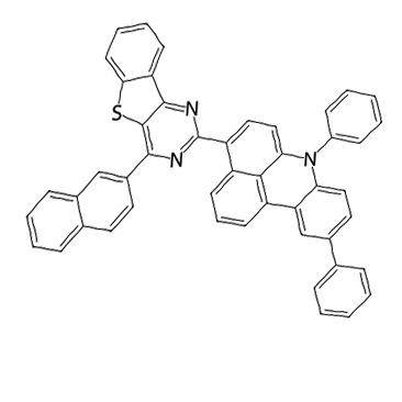 c1ccc(-c2ccc3c(c2)-c2cccc4c(-c5nc(-c6ccc7ccccc7c6)c6sc7ccccc7c6n5)ccc(c24)N3c2ccccc2)cc1